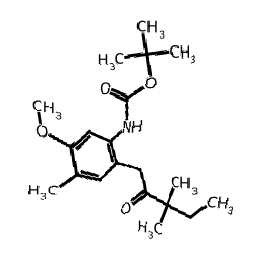 CCC(C)(C)C(=O)Cc1cc(C)c(OC)cc1NC(=O)OC(C)(C)C